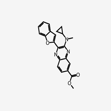 COC(=O)c1ccc2nc(-c3cc4ccccc4o3)c(N(C)C3CC3)nc2c1